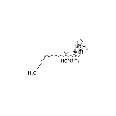 CCCCCCCC/C=C\CCCCCCCC(=O)C(CC(C)[C@H]1CC[C@H]2[C@@H]3CCC4CCCC[C@]4(C)[C@H]3CC[C@]12C)C(=O)O